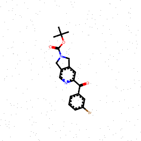 CC(C)(C)OC(=O)N1Cc2cnc(C(=O)c3cccc(Br)c3)cc2C1